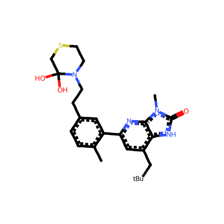 Cc1ccc(CCN2CCSCC2(O)O)cc1-c1cc(CC(C)(C)C)c2[nH]c(=O)n(C)c2n1